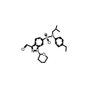 CCc1ccc(N(CC(C)C)S(=O)(=O)c2ccc3c(C=O)nn(C4CCCCO4)c3c2)cc1